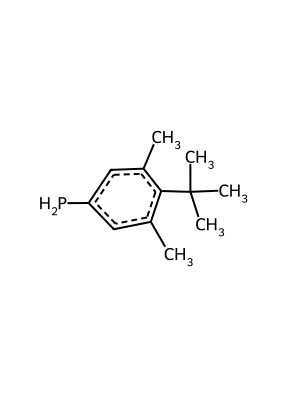 Cc1cc(P)cc(C)c1C(C)(C)C